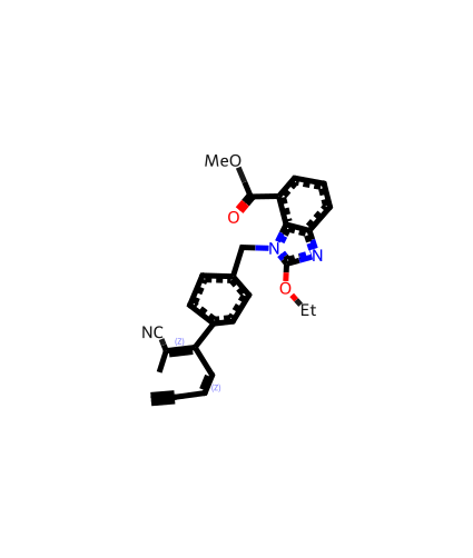 C#C/C=C\C(=C(/C)C#N)c1ccc(Cn2c(OCC)nc3cccc(C(=O)OC)c32)cc1